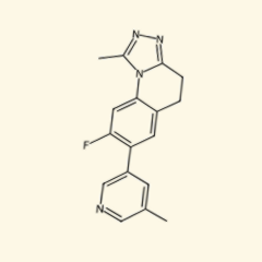 Cc1cncc(-c2cc3c(cc2F)-n2c(C)nnc2CC3)c1